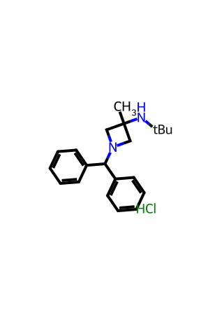 CC(C)(C)NC1(C)CN(C(c2ccccc2)c2ccccc2)C1.Cl